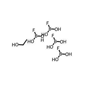 CCO.OB(O)F.OB(O)F.OB(O)F.OB(O)F